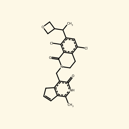 Cc1[nH]c(=O)c(CN2CCc3c(Cl)cc(C(C)C4COC4)c(Cl)c3C2=O)c2c1C=CC2